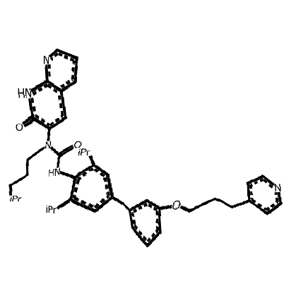 CC(C)CCCN(C(=O)Nc1c(C(C)C)cc(-c2cccc(OCCCc3ccncc3)c2)cc1C(C)C)c1cc2cccnc2[nH]c1=O